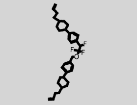 C=CCCC1CCC(c2ccc(COC(F)(F)C(F)c3ccc(C4CCC(CCC=C)CC4)cc3)cc2)CC1